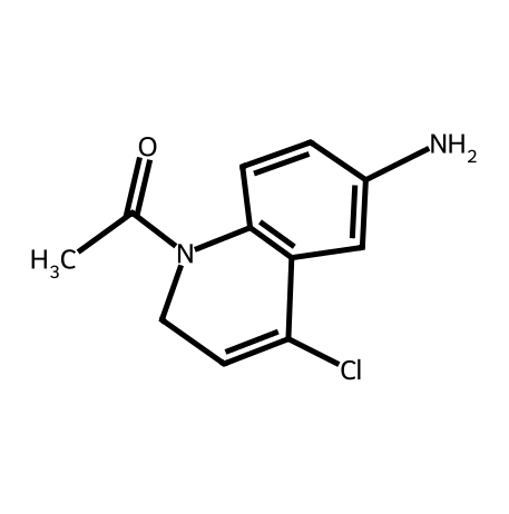 CC(=O)N1CC=C(Cl)c2cc(N)ccc21